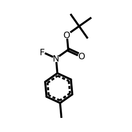 Cc1ccc(N(F)C(=O)OC(C)(C)C)cc1